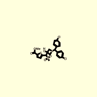 COC(=O)c1ccc(C(C2(O)CN(C(c3ccc(Cl)cc3)c3ccc(Cl)cc3)C2)S(C)(=O)=O)s1